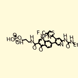 CCCn1cc(C(=O)NCCCOP(=O)(O)O)c(=O)c2ccc(-c3cnc(NC(=O)NCC)cc3-c3nc(C(F)(F)F)cs3)cc21